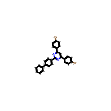 Brc1ccc(-c2cc(-c3ccc(Br)cc3)nc(-c3ccc(-c4ccccc4)cc3)n2)cc1